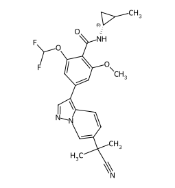 COc1cc(-c2cnn3cc(C(C)(C)C#N)ccc23)cc(OC(F)F)c1C(=O)N[C@@H]1CC1C